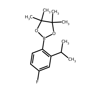 CC(C)c1cc(F)ccc1B1OC(C)(C)C(C)(C)O1